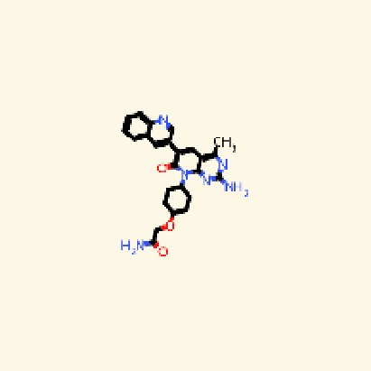 Cc1nc(N)nc2c1cc(-c1cnc3ccccc3c1)c(=O)n2C1CCC(OCC(N)=O)CC1